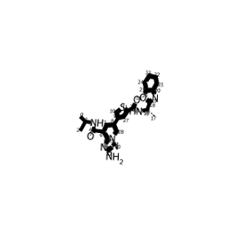 CC(C)NC(=O)c1cc(-c2csc(C(=O)N[C@@H](C)c3nc4ccccc4o3)c2)cn2nc(N)nc12